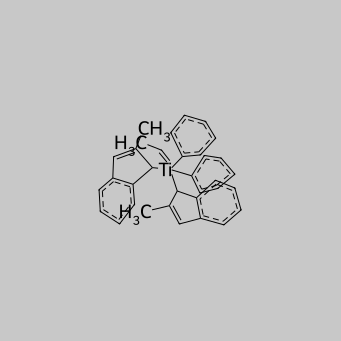 C[CH]=[Ti]([c]1ccccc1)([c]1ccccc1)([CH]1C(C)=Cc2ccccc21)[CH]1C(C)=Cc2ccccc21